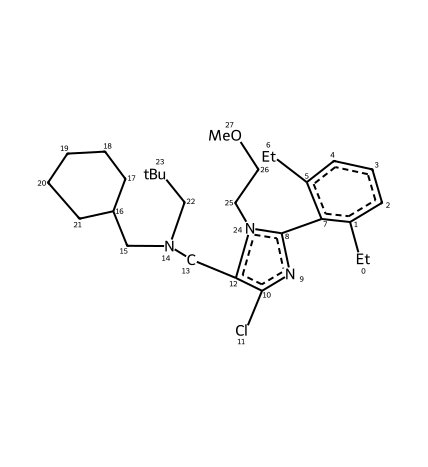 CCc1cccc(CC)c1-c1nc(Cl)c(CN(CC2CCCCC2)CC(C)(C)C)n1CCOC